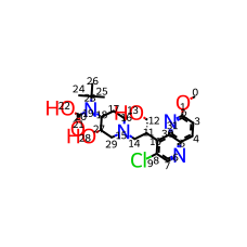 COc1ccc2ncc(Cl)c([C@@H](CO)CN3CC[C@H](N(C(=O)O)C(C)(C)C)[C@H](O)C3)c2n1